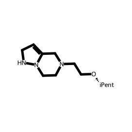 CCC[C@@H](C)OCCN1CCN2NCC=C2C1